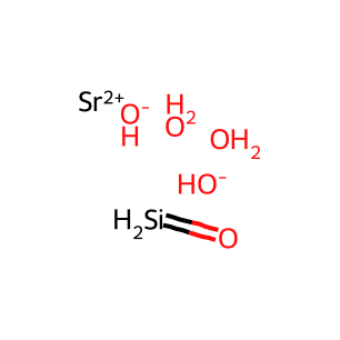 O.O.O=[SiH2].[OH-].[OH-].[Sr+2]